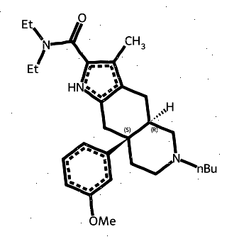 CCCCN1CC[C@]2(c3cccc(OC)c3)Cc3[nH]c(C(=O)N(CC)CC)c(C)c3C[C@H]2C1